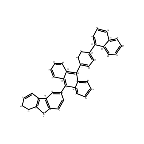 C1=Cc2c(sc3ccc(-c4c5ccccc5c(C5=CC=C(c6cccc7ccccc67)CC5)c5ccccc45)cc23)CC1